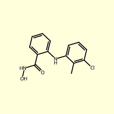 Cc1c(Cl)cccc1Nc1ccccc1C(=O)NO